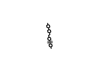 CC1CCC(C2CCC(CCC3CCC(S(=O)(=O)C4CCC(C)CC4)CC3)CC2)CC1